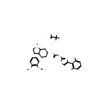 COc1ccc([C@@]23CC[C@@H](NC(=O)Nc4nc(-c5c(F)cccc5Cl)cs4)C[C@@H]2N(C)CC3)cc1OC.O=C(O)C(F)(F)F